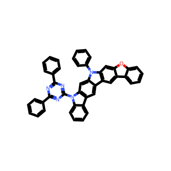 c1ccc(-c2nc(-c3ccccc3)nc(-n3c4ccccc4c4cc5c6cc7c(cc6n(-c6ccccc6)c5cc43)oc3ccccc37)n2)cc1